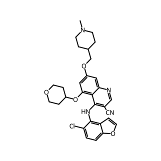 CN1CCC(COc2cc(OC3CCOCC3)c3c(Nc4c(Cl)ccc5occc45)c(C#N)cnc3c2)CC1